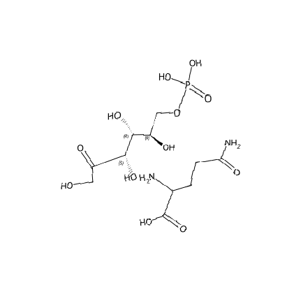 NC(=O)CCC(N)C(=O)O.O=C(CO)[C@@H](O)[C@H](O)[C@H](O)COP(=O)(O)O